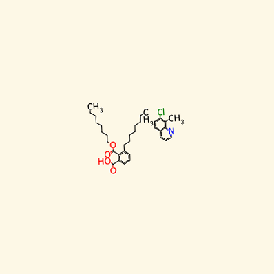 CCCCCCCCOC(=O)c1c(CCCCCCCC)cccc1C(=O)O.Cc1c(Cl)ccc2cccnc12